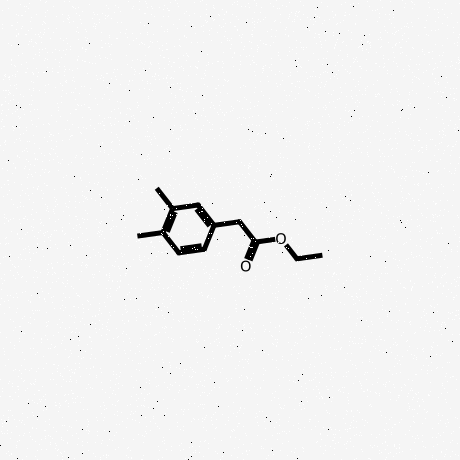 CCOC(=O)Cc1ccc(C)c(C)c1